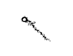 NCCOCCOCCOCCNC(=O)OCC1C2CCC#CCC[C@@H]21